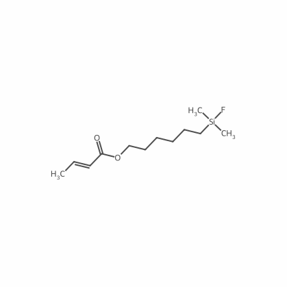 CC=CC(=O)OCCCCCC[Si](C)(C)F